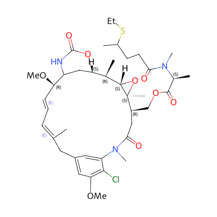 CCSC(C)CCC(=O)N(C)[C@@H](C)C(=O)OC[C@H]1CC(=O)N(C)c2cc(cc(OC)c2Cl)C/C(C)=C/C=C/[C@@H](OC)C2C[C@H](OC(=O)N2)[C@@H](C)[C@@H]2O[C@@]12C